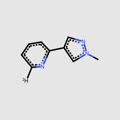 [2H]c1cccc(-c2cnn(C)c2)n1